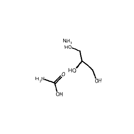 N.NC(=O)O.OCC(O)CO